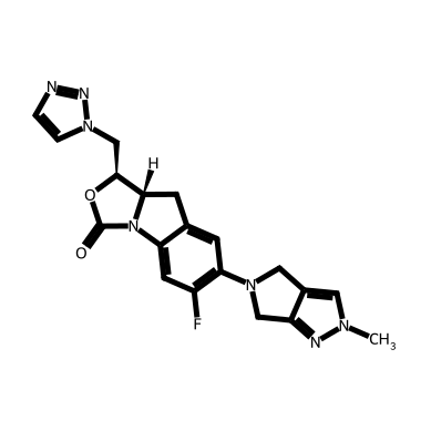 Cn1cc2c(n1)CN(c1cc3c(cc1F)N1C(=O)O[C@@H](Cn4ccnn4)[C@@H]1C3)C2